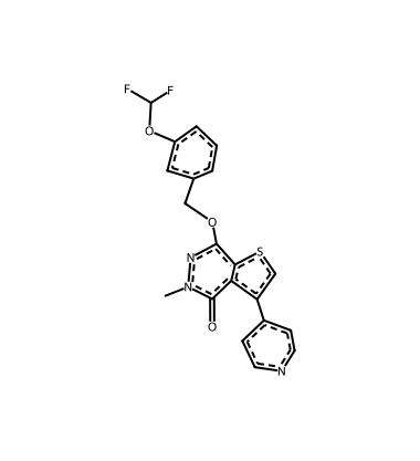 Cn1nc(OCc2cccc(OC(F)F)c2)c2scc(-c3ccncc3)c2c1=O